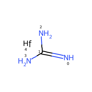 N=C(N)N.[Hf]